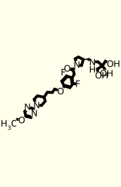 CCOc1cnc(N2CCC(CCCOc3cc(F)c(CC(=O)N4CC[C@@H](CNCC(CO)(CO)CO)C4)c(F)c3)CC2)nc1